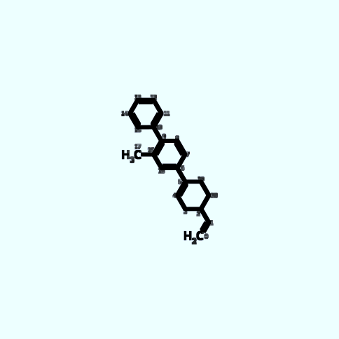 C=CC1CC=C(c2ccc(-c3ccccc3)c(C)c2)CC1